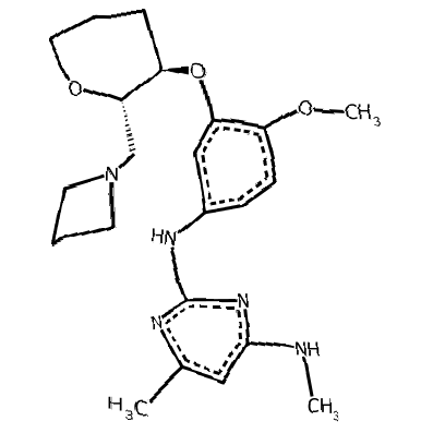 CNc1cc(C)nc(Nc2ccc(OC)c(O[C@@H]3CCCO[C@H]3CN3CCC3)c2)n1